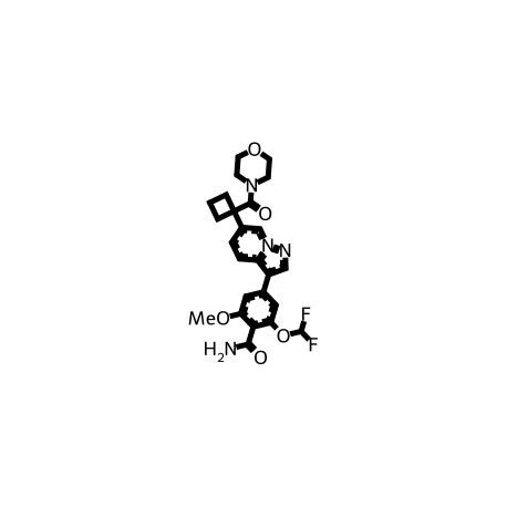 COc1cc(-c2cnn3cc(C4(C(=O)N5CCOCC5)CCC4)ccc23)cc(OC(F)F)c1C(N)=O